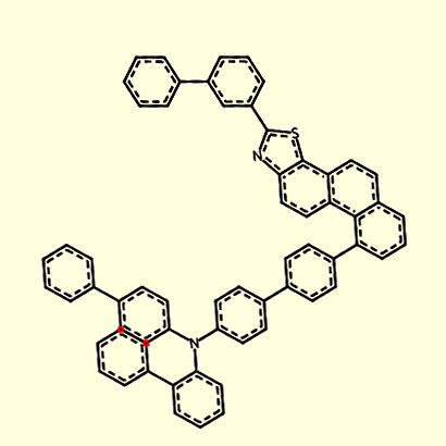 c1ccc(-c2ccc(N(c3ccc(-c4ccc(-c5cccc6ccc7c(ccc8nc(-c9cccc(-c%10ccccc%10)c9)sc87)c56)cc4)cc3)c3ccccc3-c3ccccc3)cc2)cc1